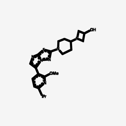 COc1nc(C(C)C)ccc1-c1cnc2sc(N3CCC(N4CC(O)C4)CC3)nn12